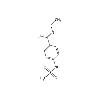 CCN=C(Cl)c1ccc(NS(C)(=O)=O)cc1